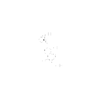 Cc1c(Cc2ccn(C)n2)cc2c(=O)n(C3CCCCC3O)cnc2c1C